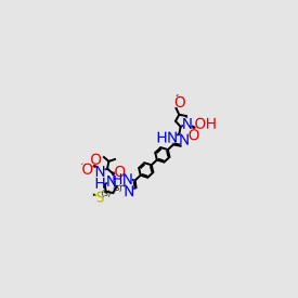 COCC1CC(c2ncc(-c3ccc(-c4ccc(-c5cnc([C@@H]6C[C@H](SC)CN6C(=O)C(NC(=O)OC)C(C)C)[nH]5)cc4)cc3)[nH]2)N(C(=O)O)C1